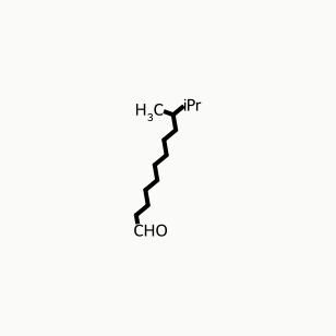 CC(C)C(C)CCCCCCCCC=O